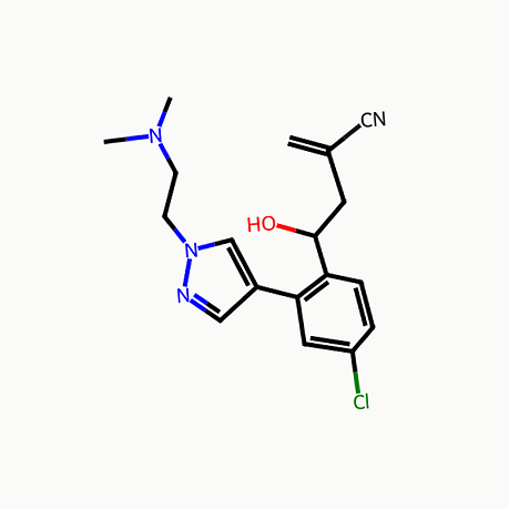 C=C(C#N)CC(O)c1ccc(Cl)cc1-c1cnn(CCN(C)C)c1